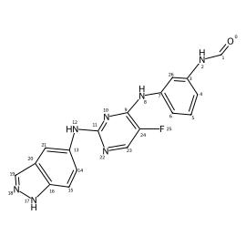 O=CNc1cccc(Nc2nc(Nc3ccc4[nH]ncc4c3)ncc2F)c1